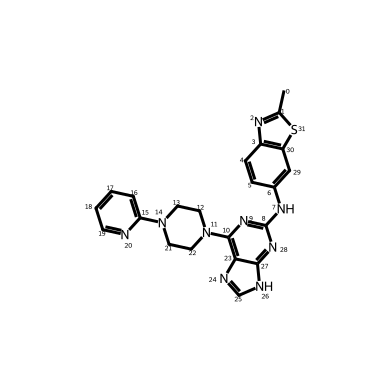 Cc1nc2ccc(Nc3nc(N4CCN(c5ccccn5)CC4)c4nc[nH]c4n3)cc2s1